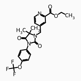 CCOC(=O)c1cc(CN2C(=O)N(c3ccc(OC(F)(F)F)cc3)C(=O)C2(C)C)ccn1